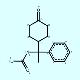 CC(NC(=O)O)(c1ccccc1)C1CCC(=O)CC1